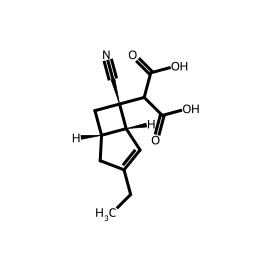 CCC1=C[C@@H]2[C@H](C1)C[C@]2(C#N)C(C(=O)O)C(=O)O